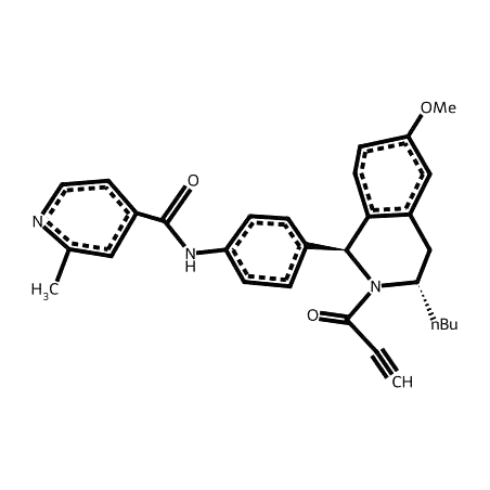 C#CC(=O)N1[C@@H](CCCC)Cc2cc(OC)ccc2[C@@H]1c1ccc(NC(=O)c2ccnc(C)c2)cc1